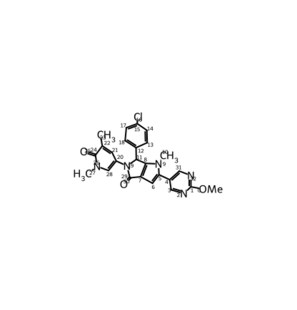 COc1ncc(-c2cc3c(n2C)C(c2ccc(Cl)cc2)N(c2cc(C)c(=O)n(C)c2)C3=O)cn1